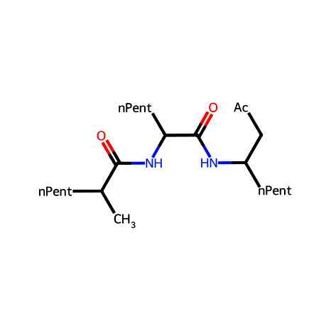 CCCCCC(CC(C)=O)NC(=O)C(CCCCC)NC(=O)C(C)CCCCC